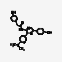 CN(C)c1ccc(-c2nc(-c3ccc(O)cc3)cnc2NC(=O)Cc2ccc(O)cc2)cc1